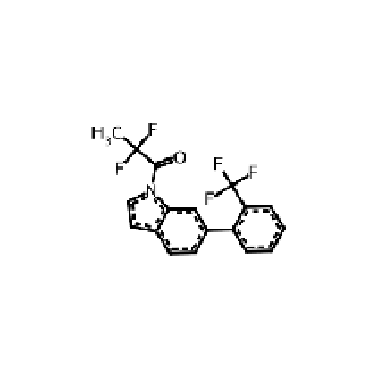 CC(F)(F)C(=O)n1ccc2ccc(-c3ccccc3C(F)(F)F)cc21